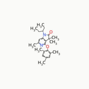 CCC(CC)N1C(=O)C(C)(C)c2c1cc(C)nc2Oc1c(C)cc(C)cc1C